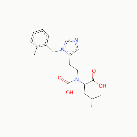 Cc1ccccc1Cn1cncc1CCN(C(=O)O)C(CC(C)C)C(=O)O